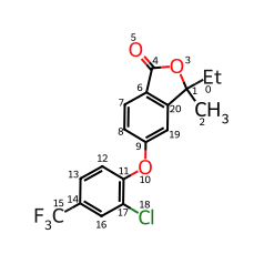 CCC1(C)OC(=O)c2ccc(Oc3ccc(C(F)(F)F)cc3Cl)cc21